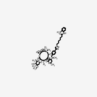 CC[C@H]1OC(=O)[C@H](C)[C@@H](O[C@H]2C[C@@](C)(OC)[C@@H](O)[C@H](C)O2)[C@H](C)[C@@H](O[C@@H]2O[C@H](C)C[C@H](N(C)Cc3ccc(-c4cn(CCCCCCC(=O)Nc5ccccc5N)nn4)cc3)[C@H]2O)[C@](C)(O)C[C@@H](C)CN(C)[C@H](C)[C@@H](O)[C@]1(C)O